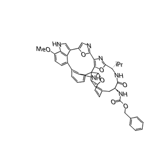 COc1ccc2c3c(c[nH]c13)-c1cnc(o1)-c1nc3oc1C14c5cc(ccc5OC1Nc1c-2cccc14)C[C@H](NC(=O)OCc1ccccc1)C(=O)N[C@H]3C(C)C